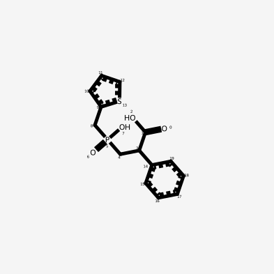 O=C(O)C(CP(=O)(O)Cc1cccs1)c1ccccc1